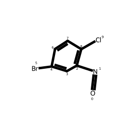 O=Nc1cc(Br)ccc1Cl